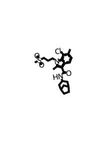 Cc1ccc2c(C(=O)NC3CC4CCC(C4)C3)c(C)n(CCCS(C)(=O)=O)c2c1Cl